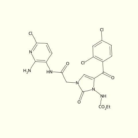 CCOC(=O)Nn1c(C(=O)c2ccc(Cl)cc2Cl)cn(CC(=O)Nc2ccc(Cl)nc2N)c1=O